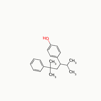 CC(C)C(CC(C)(C)c1ccccc1)c1ccc(O)cc1